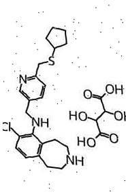 Clc1ccc2c(c1NCc1ccc(CSC3CCCC3)nc1)CCNCC2.O=C(O)C(O)C(O)C(=O)O